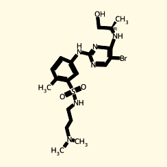 Cc1ccc(Nc2ncc(Br)c(N[C@H](C)CO)n2)cc1S(=O)(=O)NCCCN(C)C